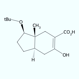 CC(C)(C)O[C@@H]1CC[C@@H]2CC(O)=C(C(=O)O)C[C@]21C